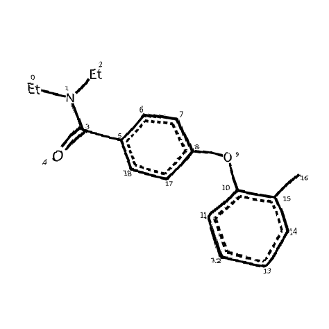 CCN(CC)C(=O)c1ccc(Oc2ccccc2C)cc1